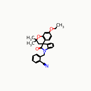 CCOc1ccc2c(c1)OC(C)(C)CC21C(=O)N(Cc2ccccc2C#N)c2ccccc21